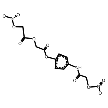 O=C(CO[N+](=O)[O-])Nc1ccc(OC(=O)COC(=O)CO[N+](=O)[O-])cc1